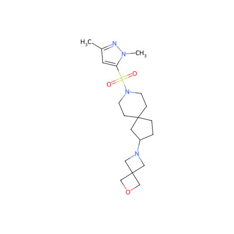 Cc1cc(S(=O)(=O)N2CCC3(CCC(N4CC5(COC5)C4)C3)CC2)n(C)n1